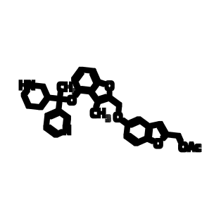 CC(=O)OCc1cc2cc(OCc3oc4cccc(OC(C)(c5cccnc5)C5CCCNC5)c4c3C)ccc2o1